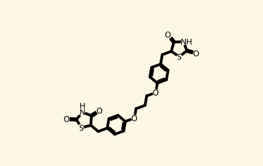 O=C1NC(=O)C(Cc2ccc(OCCCOc3ccc(CC4SC(=O)NC4=O)cc3)cc2)S1